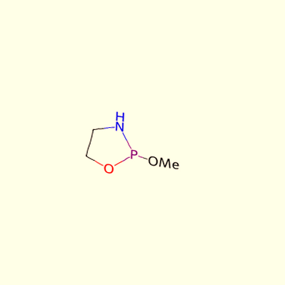 COP1NCCO1